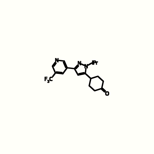 CC(C)n1nc(-c2cncc(C(F)(F)F)c2)cc1C1CCC(=O)CC1